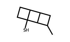 CC1CC2C3CCC3(S)C12